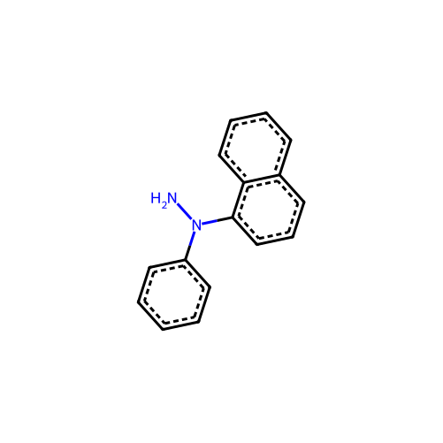 NN(c1ccccc1)c1cccc2ccccc12